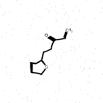 C=CC(=O)CCC1CCCO1